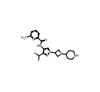 Cc1cccc(C(=O)Nc2cn(C3CN(C4CCNCC4)C3)nc2C(F)F)n1